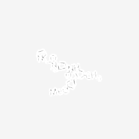 COc1ccc(-c2cc(C)ccc2C(=O)Nc2ccc3c(c2)CCN3C(=O)Cc2ccccn2)cc1